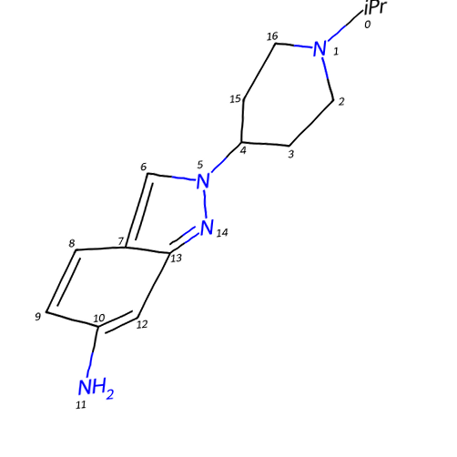 CC(C)N1CCC(n2cc3ccc(N)cc3n2)CC1